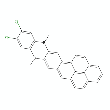 CB1c2cc(Cl)c(Cl)cc2B(C)c2cc3c(cc21)cc1ccc2cccc4ccc3c1c24